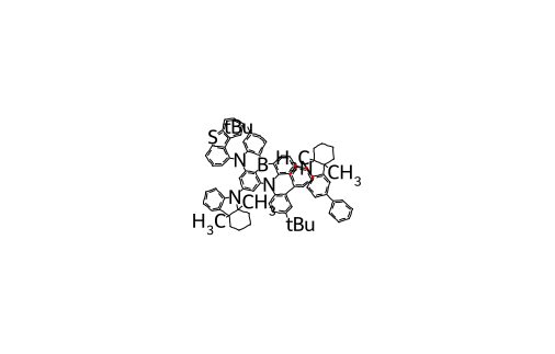 CC(C)(C)c1ccc(N2c3cc(N4c5ccc(-c6ccccc6)cc5C5(C)CCCCC45C)ccc3B3c4ccc(C(C)(C)C)cc4N(c4cccc5sc6ccccc6c45)c4cc(N5c6ccccc6C6(C)CCCCC56C)cc2c43)c(-c2ccccc2)c1